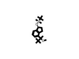 COC(C)(c1cccc2c1CC[C@@H]2O[Si](C)(C)C(C)(C)C)C(C)(C)C